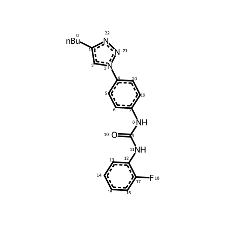 CCCCc1cn(-c2ccc(NC(=O)Nc3ccccc3F)cc2)nn1